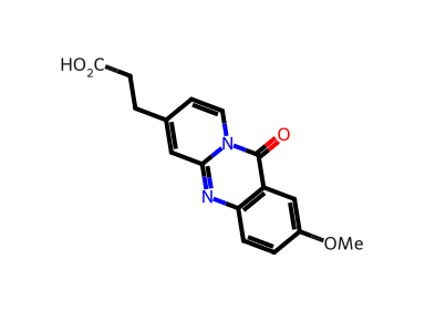 COc1ccc2nc3cc(CCC(=O)O)ccn3c(=O)c2c1